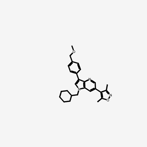 COCc1ccc(-c2cn(CC3CCCCC3)c3cc(-c4c(C)noc4C)cnc23)cc1